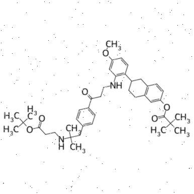 COc1ccc(C2CCc3cc(OC(=O)C(C)(C)C)ccc3C2)c(NCCC(=O)c2ccc(CC(C)(C)NCCC(=O)OC(C)(C)C)cc2)c1